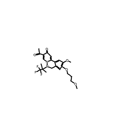 COCCCOc1cc2c(cc1OC)-c1cc(=O)c(C(C)=O)cn1N(C(C)(C)C(F)(F)F)C2